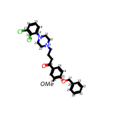 COc1cc(C(=O)CCCN2CCN(c3cccc(Cl)c3Cl)CC2)ccc1OCc1ccccc1